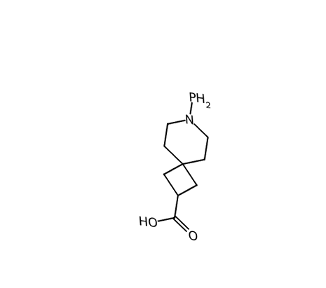 O=C(O)C1CC2(CCN(P)CC2)C1